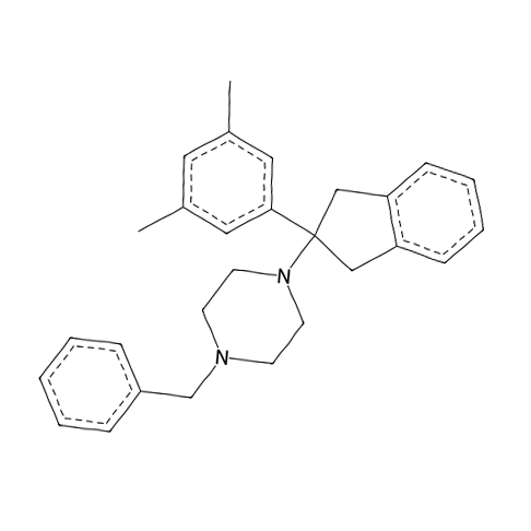 Cc1cc(C)cc(C2(N3CCN(Cc4ccccc4)CC3)Cc3ccccc3C2)c1